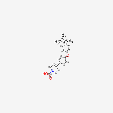 CC(C)(C)[C@H]1CC[C@H](Oc2ccc(C3=CCN(C(=O)O)CC3)cc2)CC1